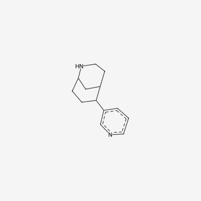 c1cncc(C2CCC3CC2CCN3)c1